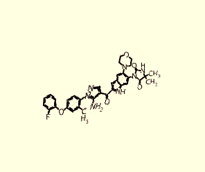 Cc1cc(Oc2ccccc2F)ccc1-n1ncc(C(=O)c2cc3cc(N4CCOCC4)c(N4C(=O)NC(C)(C)C4=O)cc3[nH]2)c1N